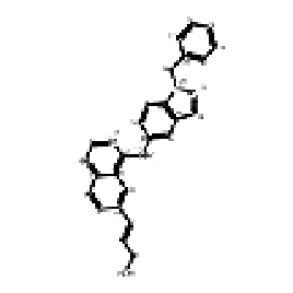 OCC=Cc1ccc2ncnc(Nc3ccc4c(cnn4Cc4ccccc4)c3)c2c1